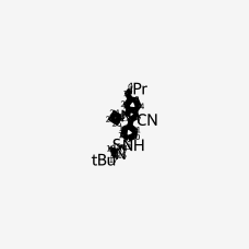 CC(C)Cc1ccc2c(C#N)c(-c3ccc(Nc4nc(C(C)(C)C)cs4)cc3)n(C3CCC3)c2c1